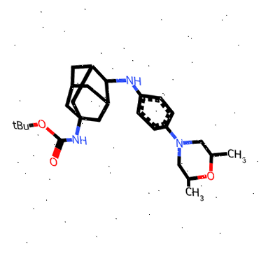 CC1CN(c2ccc(NC3C4CC5CC3CC(NC(=O)OC(C)(C)C)(C5)C4)cc2)CC(C)O1